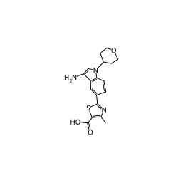 Cc1nc(-c2ccc3c(c2)c(N)cn3C2CCOCC2)sc1C(=O)O